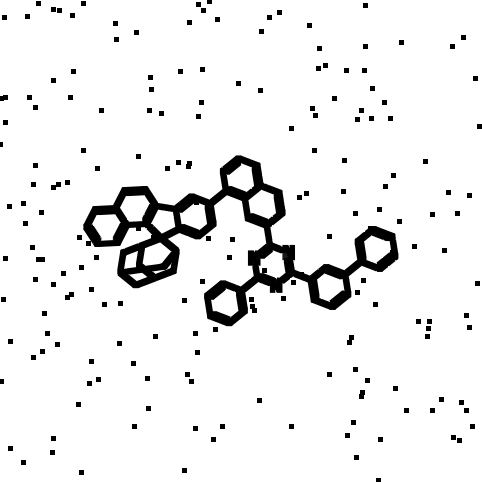 c1ccc(-c2cccc(-c3nc(-c4ccccc4)nc(-c4ccc5cccc(-c6ccc7c(c6)-c6ccc8ccccc8c6C76C7CC8CC(C7)CC6C8)c5c4)n3)c2)cc1